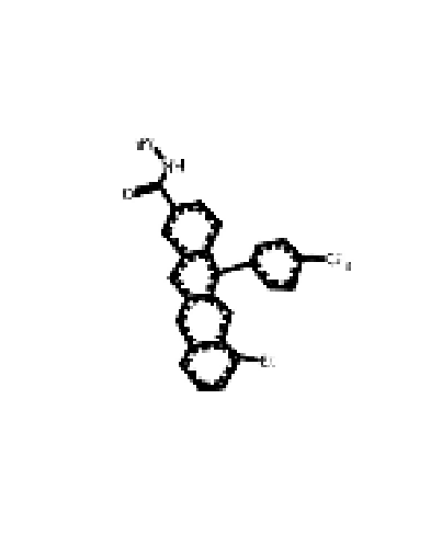 CCc1cccc2cc3cc4cc(C(=O)NC(C)C)ccc4c(-c4ccc(C(F)(F)F)cc4)c3cc12